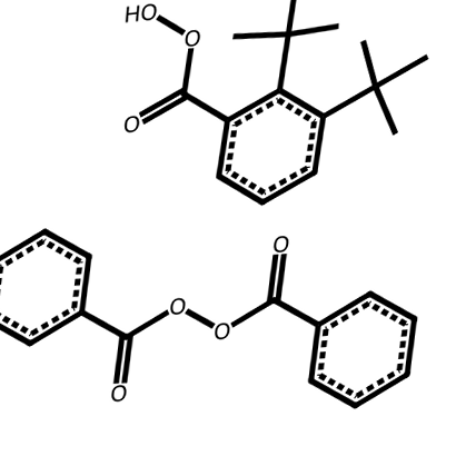 CC(C)(C)c1cccc(C(=O)OO)c1C(C)(C)C.O=C(OOC(=O)c1ccccc1)c1ccccc1